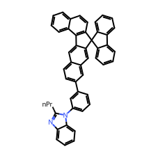 CCCc1nc2ccccc2n1-c1cccc(-c2ccc3cc4c(cc3c2)C2(c3ccccc3-c3ccccc32)c2ccc3ccccc3c2-4)c1